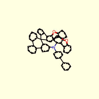 c1ccc(-c2ccc(N(c3ccc4c(c3)C3(c5ccccc5-c5ccccc5-4)c4ccccc4-c4c3ccc3c4oc4ccccc43)c3cccc4oc5ccccc5c34)cc2)cc1